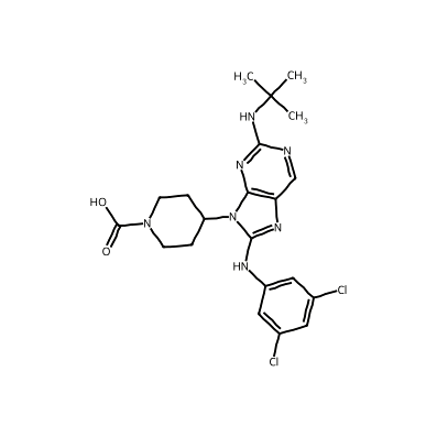 CC(C)(C)Nc1ncc2nc(Nc3cc(Cl)cc(Cl)c3)n(C3CCN(C(=O)O)CC3)c2n1